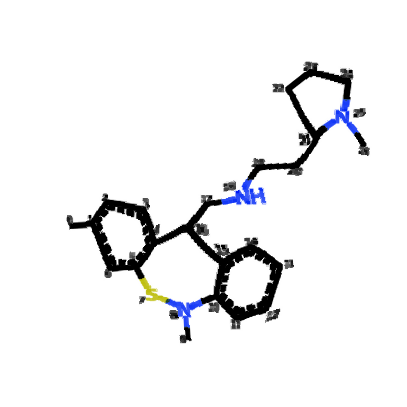 Cc1ccc2c(c1)SN(C)c1ccccc1C2CNCCC1CCCN1C